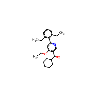 CCOc1cc(-c2c(CC)cccc2CC)ncc1C(=O)C1CCCCC1